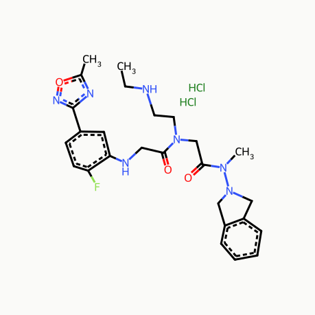 CCNCCN(CC(=O)N(C)N1Cc2ccccc2C1)C(=O)CNc1cc(-c2noc(C)n2)ccc1F.Cl.Cl